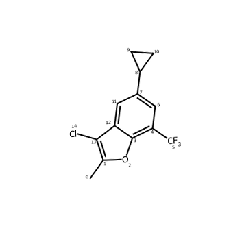 Cc1oc2c(C(F)(F)F)cc(C3CC3)cc2c1Cl